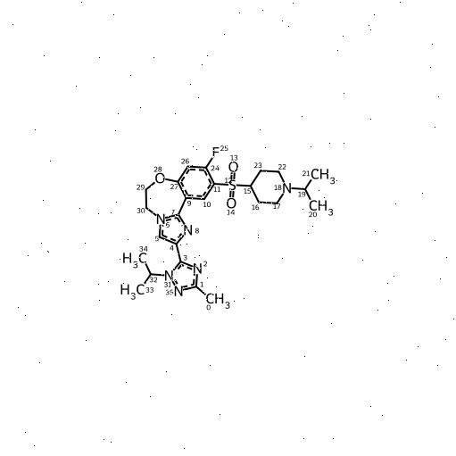 Cc1nc(-c2cn3c(n2)-c2cc(S(=O)(=O)C4CCN(C(C)C)CC4)c(F)cc2OCC3)n(C(C)C)n1